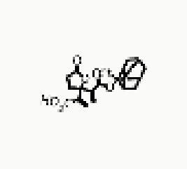 C=C(C(=O)O)C1(C(=C)C(=O)OC2(CC)C3CC4CC(C3)CC2C4)CCC(=O)O1